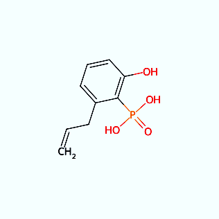 C=CCc1cccc(O)c1P(=O)(O)O